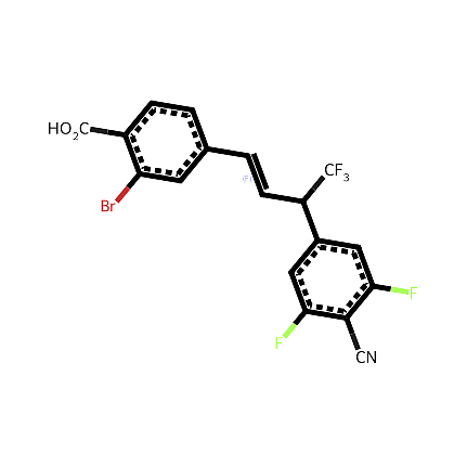 N#Cc1c(F)cc(C(/C=C/c2ccc(C(=O)O)c(Br)c2)C(F)(F)F)cc1F